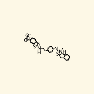 CN1/C(=N/c2ccc(CCNc3nc4ccc([N+](=O)[O-])cc4s3)cc2)SC2Cc3ccccc3[C@@H]21